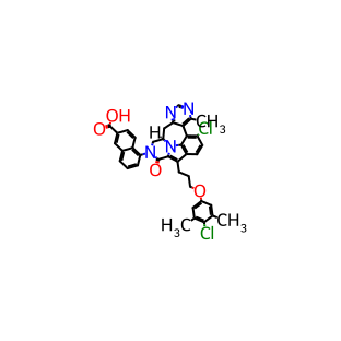 Cc1cc(OCCCc2c3n4c5c(c(Cl)ccc25)-c2c(C)ncnc2C[C@@H]4CN(c2cccc4cc(C(=O)O)ccc24)C3=O)cc(C)c1Cl